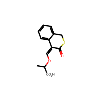 CC(O/C=C1\C(=O)SCc2ccccc21)C(=O)O